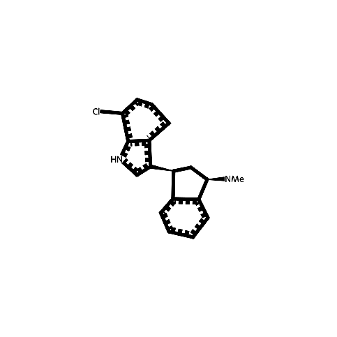 CN[C@@H]1C[C@H](c2c[nH]c3c(Cl)cccc23)c2ccccc21